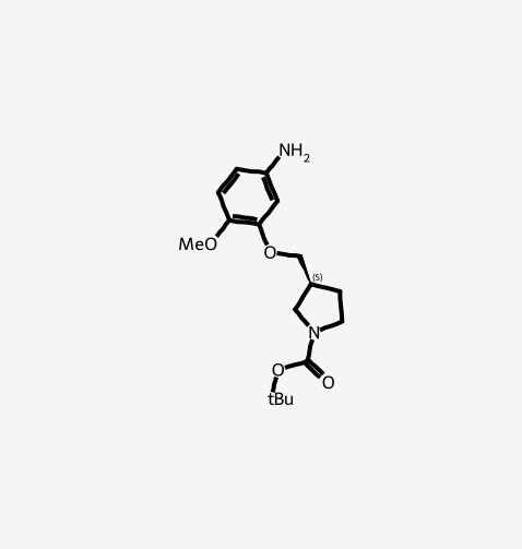 COc1ccc(N)cc1OC[C@H]1CCN(C(=O)OC(C)(C)C)C1